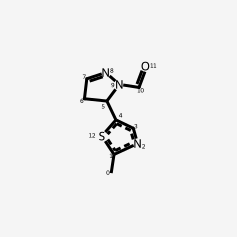 Cc1ncc(C2CC=NN2C=O)s1